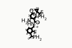 CC(P)c1cccc([C@@H](C)NC(=O)c2cn(C3(C(F)P)CC3)c(=O)cc2N)c1F